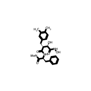 CNC(=O)[C@H](Cc1ccccc1)NC(=O)[C@H](Cc1ccc(C)c(C)c1)[C@H](O)C(=O)NO